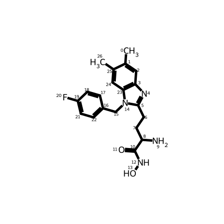 Cc1cc2nc(CCC(N)C(=O)NO)n(Cc3ccc(F)cc3)c2cc1C